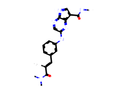 CC(C)NC(=O)c1c[nH]c2ncc(Nc3cccc(/C=C(\C#N)C(=O)N(C)C)c3)nc12